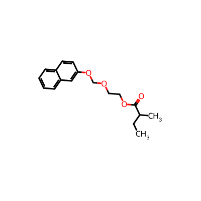 CCC(C)C(=O)OCCOCOc1ccc2ccccc2c1